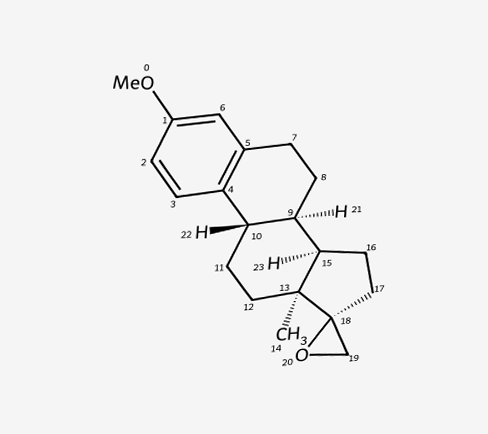 COc1ccc2c(c1)CC[C@@H]1[C@@H]2CC[C@@]2(C)[C@@H]1CC[C@@]21CO1